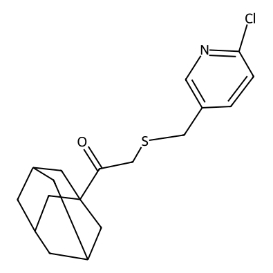 O=C(CSCc1ccc(Cl)nc1)C12CC3CC(CC(C3)C1)C2